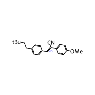 COc1ccc(/C(C#N)=C/c2ccc(CCC(C)(C)C)cc2)cc1